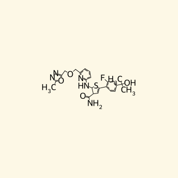 Cc1nnc(COCc2cccc(NC3SC(c4ccc(C(C)(C)O)cc4F)=CC3C(N)=O)n2)o1